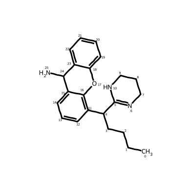 CCCCC(C1=NCCCN1)c1cccc2c1Oc1ccccc1C2N